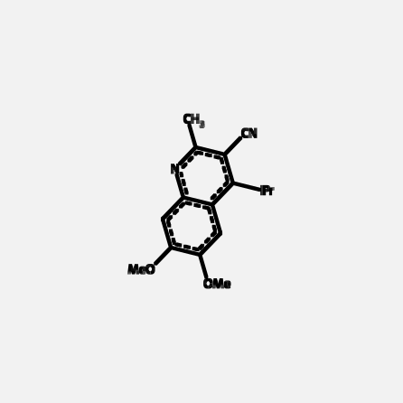 COc1cc2nc(C)c(C#N)c(C(C)C)c2cc1OC